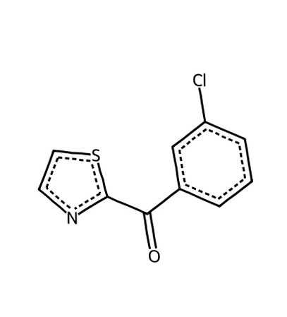 O=C(c1cccc(Cl)c1)c1nccs1